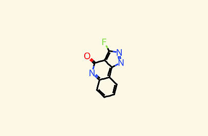 O=C1N=c2ccccc2=C2N=NC(F)=C12